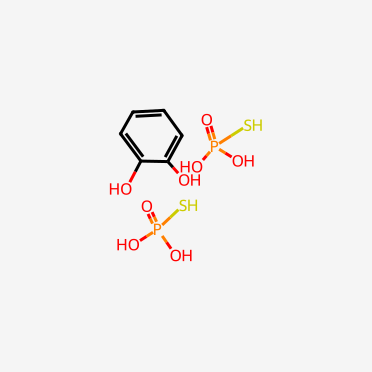 O=P(O)(O)S.O=P(O)(O)S.Oc1ccccc1O